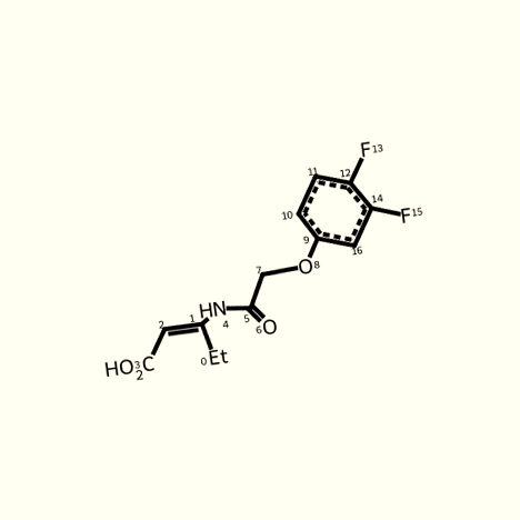 CC/C(=C\C(=O)O)NC(=O)COc1ccc(F)c(F)c1